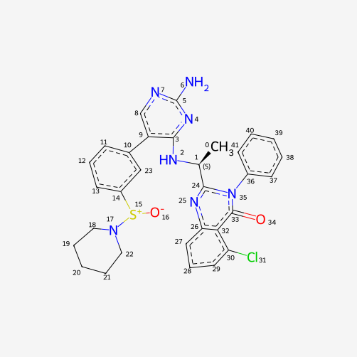 C[C@H](Nc1nc(N)ncc1-c1cccc([S+]([O-])N2CCCCC2)c1)c1nc2cccc(Cl)c2c(=O)n1-c1ccccc1